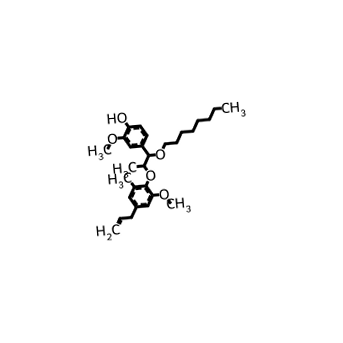 C=CCc1cc(C)c(OC(C)C(OCCCCCCCC)c2ccc(O)c(OC)c2)c(OC)c1